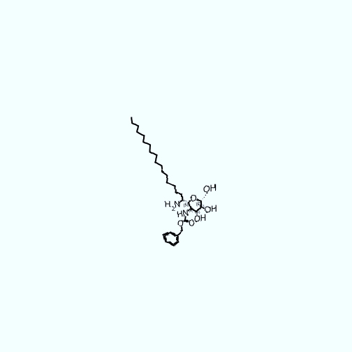 CCCCCCCCCCCCCCCCCC(N)[C@@H]1O[C@H](CO)[C@@H](O)[C@H](O)[C@H]1NC(=O)OCc1ccccc1